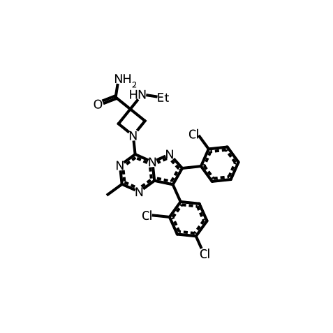 CCNC1(C(N)=O)CN(c2nc(C)nc3c(-c4ccc(Cl)cc4Cl)c(-c4ccccc4Cl)nn23)C1